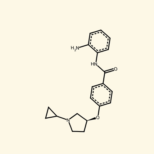 Nc1ccccc1NC(=O)c1ccc(O[C@H]2CCN(C3CC3)C2)cc1